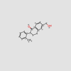 Cc1ccccc1C1CCc2cc(CO)ccc2C1=O